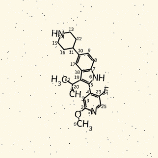 COc1cc(-c2[nH]c3ccc(C4CCNCC4)cc3c2C(C)C)c(F)cn1